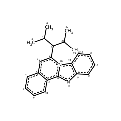 CC(C)C(c1nc2ccccc2c2nc3ccccc3n12)C(C)C